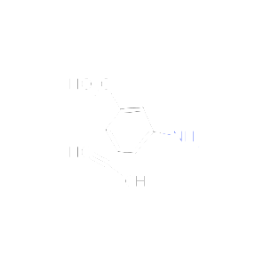 C#CC.Nc1cccc(C(=O)O)c1